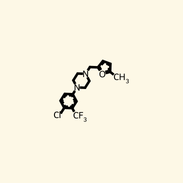 Cc1ccc(CN2CCN(c3ccc(Cl)c(C(F)(F)F)c3)CC2)o1